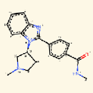 CNC(=O)c1ccc(-c2nc3ccccc3n2[C@H]2CCN(C)C2)cc1